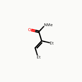 CC/C=C(\CC)C(=O)NC